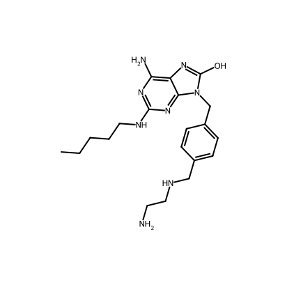 CCCCCNc1nc(N)c2nc(O)n(Cc3ccc(CNCCN)cc3)c2n1